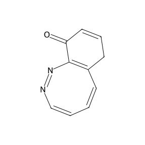 O=C1C=CCC2=C1N=NC=CC=C2